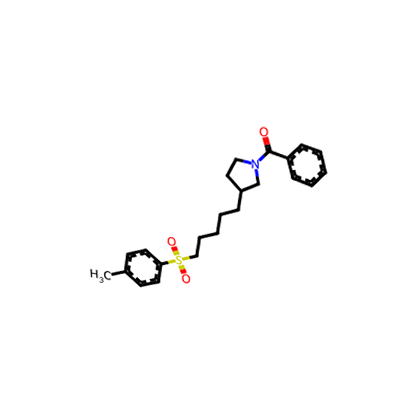 Cc1ccc(S(=O)(=O)CCCCCC2CCN(C(=O)c3ccccc3)C2)cc1